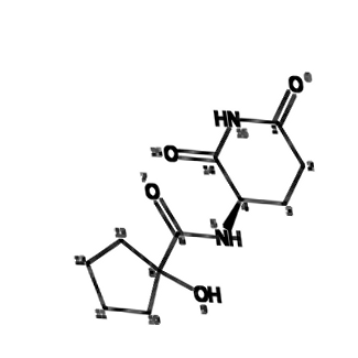 O=C1CC[C@@H](NC(=O)C2(O)CCCC2)C(=O)N1